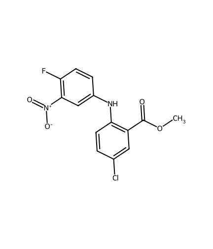 COC(=O)c1cc(Cl)ccc1Nc1ccc(F)c([N+](=O)[O-])c1